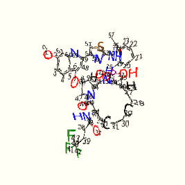 COc1ccc2c(O[C@@H]3C[C@H]4C(=O)N[C@]5(P(=O)(O)Cc6ccccc6)C[C@H]5CCCCCCC[C@H](NC(=O)CCC(F)(F)F)C(=O)N4C3)cc(-c3csc(NC(C)C)n3)nc2c1